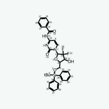 CC(C)(C)[Si](OCC1OC(n2ccc(NC(=O)c3ccccc3)nc2=O)C(F)(F)C1O)(c1ccccc1)c1ccccc1